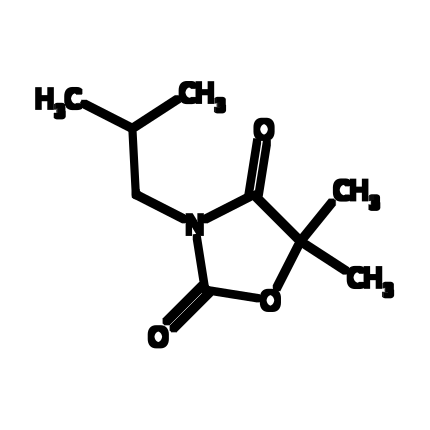 CC(C)CN1C(=O)OC(C)(C)C1=O